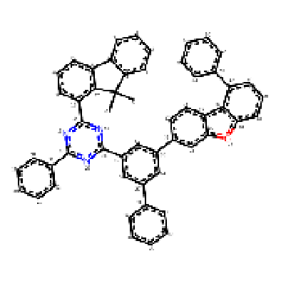 CC1(C)c2ccccc2-c2cccc(-c3nc(-c4ccccc4)nc(-c4cc(-c5ccccc5)cc(-c5ccc6c(c5)oc5cccc(-c7ccccc7)c56)c4)n3)c21